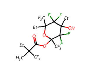 CCC(C)(C(=O)OC1(C(F)(F)F)OC(CC)(C(F)(F)F)C(F)(F)C(O)(CC)C1(F)F)C(F)(F)F